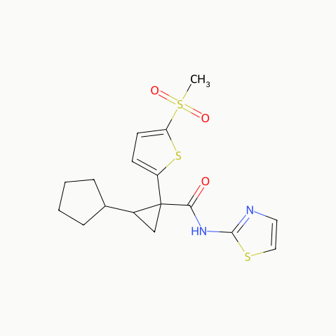 CS(=O)(=O)c1ccc(C2(C(=O)Nc3nccs3)CC2C2CCCC2)s1